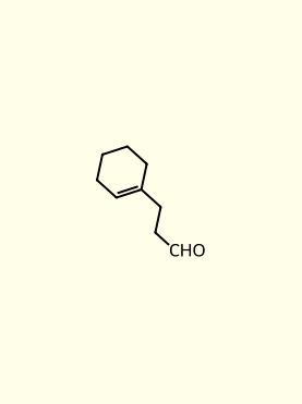 O=CCCC1=CCCCC1